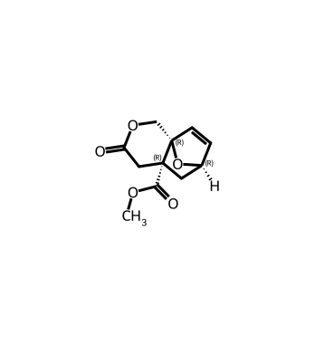 COC(=O)[C@]12CC(=O)OC[C@@]13C=C[C@@H](C2)O3